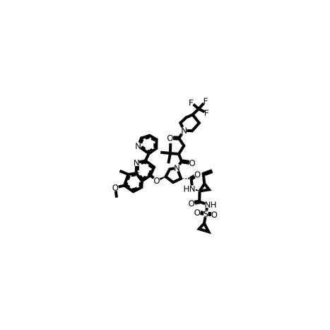 C=CC1C[C@@]1(NC(=O)[C@@H]1C[C@@H](Oc2cc(-c3ccccn3)nc3c(C)c(OC)ccc23)CN1C(=O)C(CC(=O)N1CCC(C(F)(F)F)CC1)C(C)(C)C)C(=O)NS(=O)(=O)C1CC1